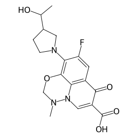 CC(O)C1CCN(c2c(F)cc3c(=O)c(C(=O)O)cn4c3c2OCN4C)C1